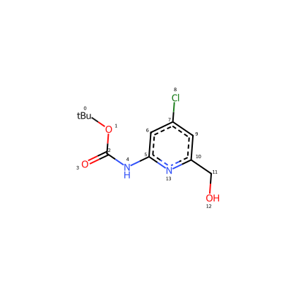 CC(C)(C)OC(=O)Nc1cc(Cl)cc(CO)n1